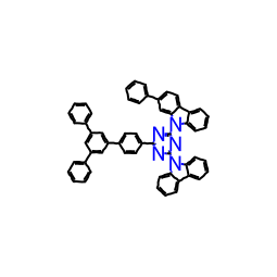 c1ccc(-c2cc(-c3ccccc3)cc(-c3ccc(-c4nc(-n5c6ccccc6c6ccccc65)nc(-n5c6ccccc6c6ccc(-c7ccccc7)cc65)n4)cc3)c2)cc1